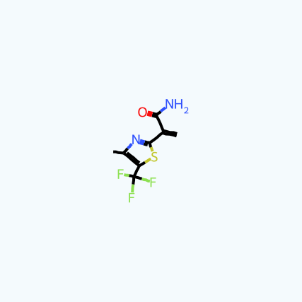 C=C(C(N)=O)c1nc(C)c(C(F)(F)F)s1